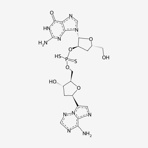 Nc1nc2c(ncn2[C@@H]2O[C@H](CO)C[C@H]2OP(=S)(S)OC[C@H]2O[C@@H](c3cnc4c(N)ncnn34)C[C@@H]2O)c(=O)[nH]1